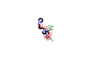 CC(C)[C@H]1C(=O)N(S(C)(=O)=O)C2=CCN(C(=O)c3ccc(CN4CCCCC4)o3)[C@@H]21.Cl